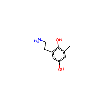 Cc1cc(O)cc(CCN)c1O